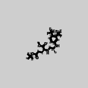 COC(=O)[C@H](CCC(=O)OC(C)(C)C)NC[C@@H](C)Nc1ccc(C(F)(F)F)c(C(F)(F)F)c1